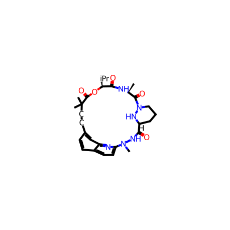 CC(C)[C@@H]1OC(=O)C(C)(C)CCc2ccc3ccc(nc3c2)N(C)NC(=O)[C@@H]2CCCN(N2)C(=O)[C@H](C)NC1=O